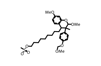 COCOc1ccc(C2(C)C(OC)Oc3cc(OC)ccc3C2CCCCCCCCCOS(C)(=O)=O)cc1